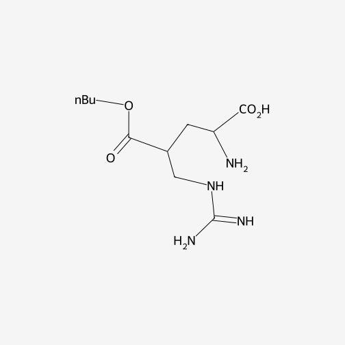 CCCCOC(=O)C(CNC(=N)N)CC(N)C(=O)O